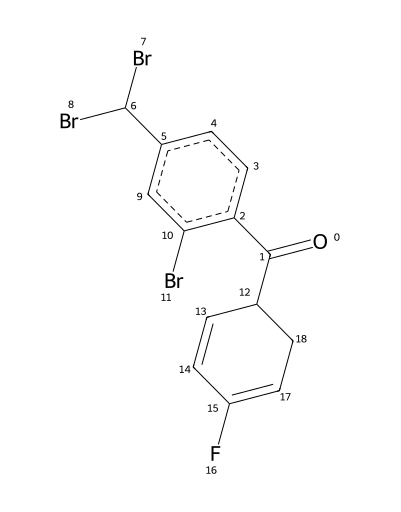 O=C(c1ccc(C(Br)Br)cc1Br)C1C=CC(F)=CC1